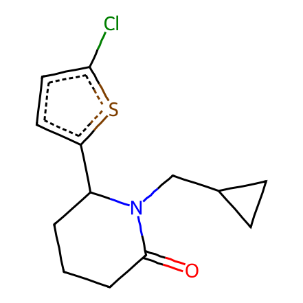 O=C1CCCC(c2ccc(Cl)s2)N1CC1CC1